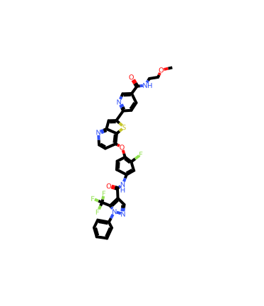 COCCNC(=O)c1ccc(-c2cc3nccc(Oc4ccc(NC(=O)c5cnn(-c6ccccc6)c5C(F)(F)F)cc4F)c3s2)nc1